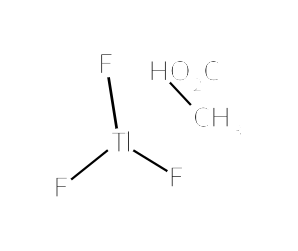 CC(=O)O.[F][Tl]([F])[F]